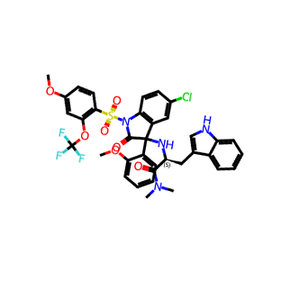 COc1ccc(S(=O)(=O)N2C(=O)C(N[C@@H](Cc3c[nH]c4ccccc34)C(=O)N(C)C)(c3ccccc3OC)c3cc(Cl)ccc32)c(OC(F)(F)F)c1